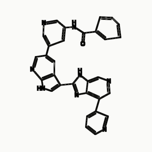 O=C(Nc1cncc(-c2cnc3[nH]cc(-c4nc5c(-c6cccnc6)cncc5[nH]4)c3c2)c1)c1ccccc1